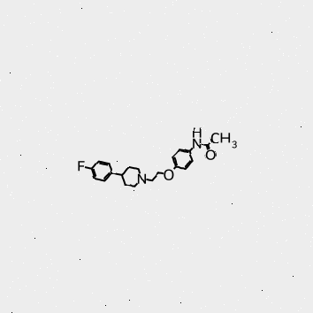 CC(=O)Nc1ccc(OCCN2CCC(c3ccc(F)cc3)CC2)cc1